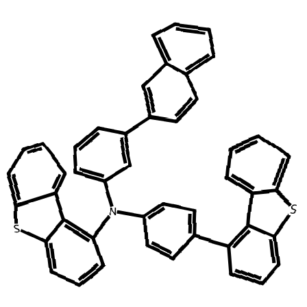 c1cc(-c2ccc3ccccc3c2)cc(N(c2ccc(-c3cccc4sc5ccccc5c34)cc2)c2cccc3sc4ccccc4c23)c1